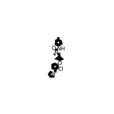 Cc1ccc(NC(=O)N(C)CC2CC(Oc3cccc(CN4CCCC4)c3Cl)C2)cc1